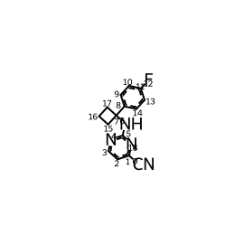 N#Cc1ccnc(NC2(c3ccc(F)cc3)CCC2)n1